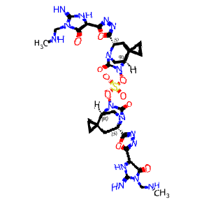 CNCN1C(=N)NC(c2nnc([C@@H]3CC4(CC4)[C@@H]4CN3C(=O)N4OS(=O)(=O)ON3C(=O)N4C[C@H]3C3(CC3)C[C@H]4c3nnc(C4NC(=N)N(CNC)C4=O)o3)o2)C1=O